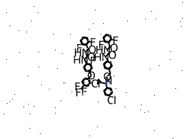 O=C(NC(=O)c1c(F)cccc1F)Nc1ccc(CO/N=C(/c2ccc(Cl)cc2)C2CC2)cc1.O=C(NC(=O)c1c(F)cccc1F)Nc1ccc(Oc2ccc(C(F)(F)F)cc2Cl)cc1F